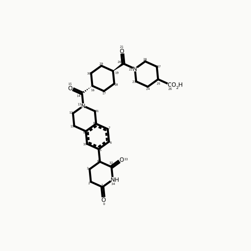 O=C1CCC(c2ccc3c(c2)CCN(C(=O)[C@H]2CC[C@H](C(=O)N4CCC(C(=O)O)CC4)CC2)C3)C(=O)N1